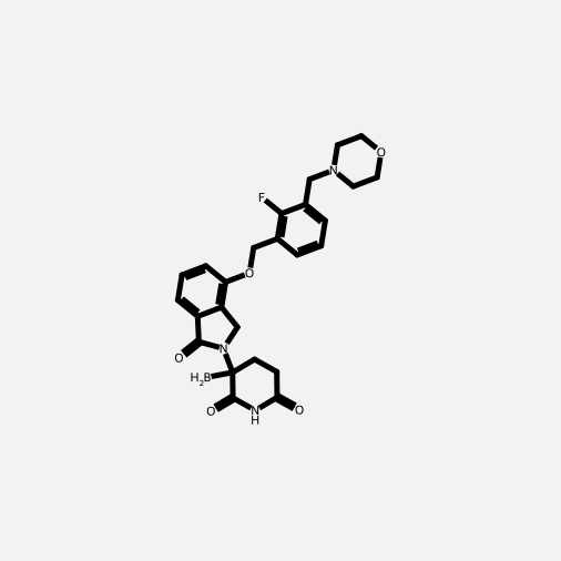 BC1(N2Cc3c(OCc4cccc(CN5CCOCC5)c4F)cccc3C2=O)CCC(=O)NC1=O